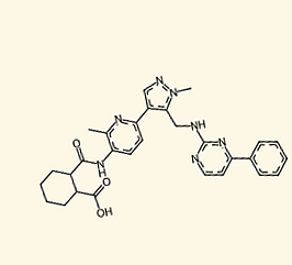 Cc1nc(-c2cnn(C)c2CNc2nccc(-c3ccccc3)n2)ccc1NC(=O)C1CCCCC1C(=O)O